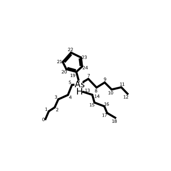 CCCCCC[AsH](CCCCCC)(CCCCCC)c1ccccc1